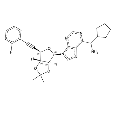 CC1(C)O[C@H]2[C@H](O1)[C@@H](C#Cc1ccccc1F)O[C@H]2n1cnc2c(C(N)C3CCCC3)ncnc21